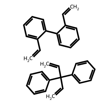 C=CC(C=C)(c1ccccc1)c1ccccc1.C=Cc1ccccc1-c1ccccc1C=C